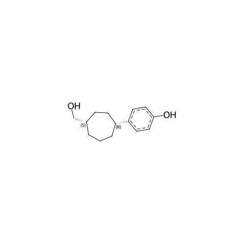 OC[C@H]1CCC[C@@H](c2ccc(O)cc2)CC1